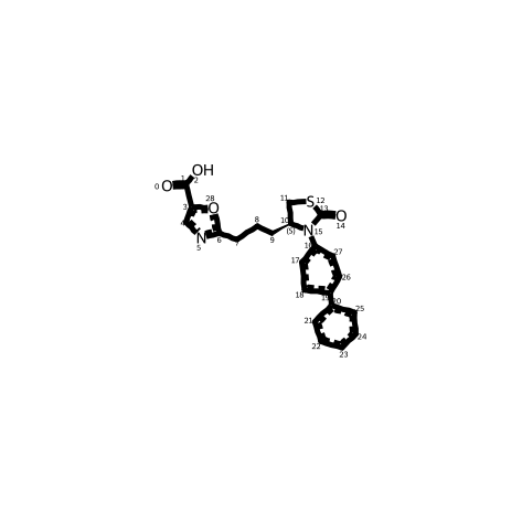 O=C(O)c1cnc(CCC[C@H]2CSC(=O)N2c2ccc(-c3ccccc3)cc2)o1